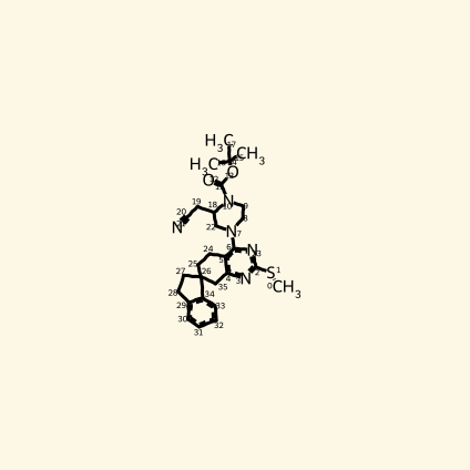 CSc1nc2c(c(N3CCN(C(=O)OC(C)(C)C)C(CC#N)C3)n1)CCC1(CCc3ccccc31)C2